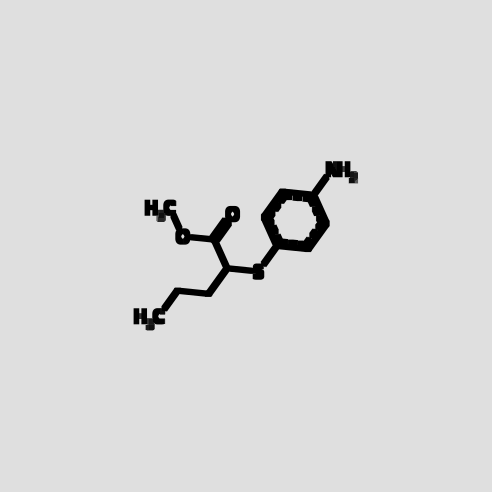 CCCC(Sc1ccc(N)cc1)C(=O)OC